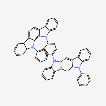 C1=CC2c3ccc4c5ccccc5n(-c5ccc(-n6c7c(c8ccccc86)CC6C(=C7)c7ccccc7N6c6ccccc6)cc5)c4c3N(c3ccccc3)C2C=C1